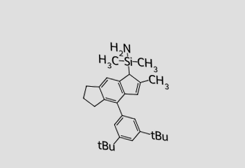 CC1=Cc2c(cc3c(c2-c2cc(C(C)(C)C)cc(C(C)(C)C)c2)CCC3)C1[Si](C)(C)N